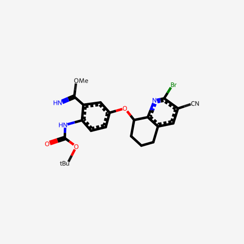 COC(=N)c1cc(OC2CCCc3cc(C#N)c(Br)nc32)ccc1NC(=O)OC(C)(C)C